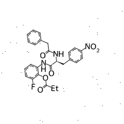 CCC(=O)Oc1c(F)cccc1NC(=O)[C@H](Cc1ccc([N+](=O)[O-])cc1)NC(=O)Cc1ccccc1